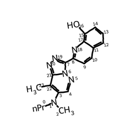 CCCN(C)c1cnn2c(-c3ccc4cccc(O)c4n3)nnc2c1C